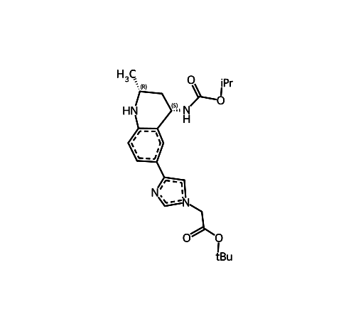 CC(C)OC(=O)N[C@H]1C[C@@H](C)Nc2ccc(-c3cn(CC(=O)OC(C)(C)C)cn3)cc21